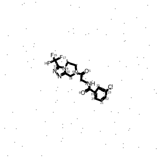 O=C(NCC(=O)N1CCn2c(nnc2C(F)(F)F)C1)c1cccc(Cl)c1